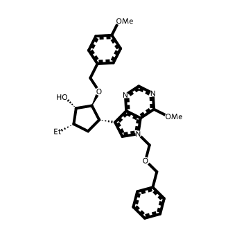 CC[C@H]1C[C@@H](c2cn(COCc3ccccc3)c3c(OC)ncnc23)[C@H](OCc2ccc(OC)cc2)[C@H]1O